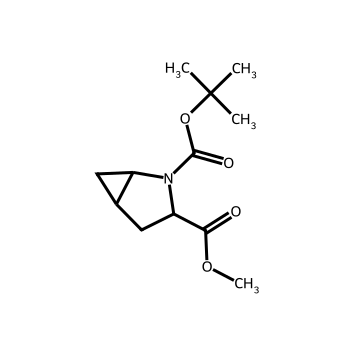 COC(=O)C1CC2CC2N1C(=O)OC(C)(C)C